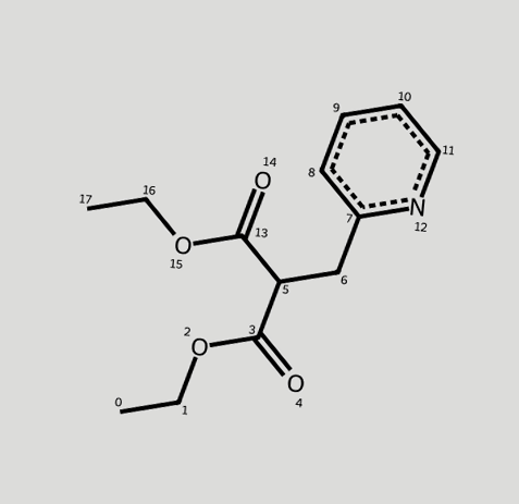 CCOC(=O)C(Cc1ccccn1)C(=O)OCC